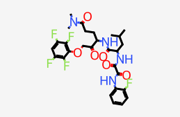 CC(C)CC(NC(=O)C(=O)Nc1ccccc1F)C(=O)NC(CCC(=O)N(C)C)C(=O)COc1c(F)c(F)cc(F)c1F